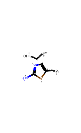 CC(C)CC=O.CC(C)c1cnc(N)s1